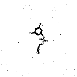 C#CCOS(=O)(=O)Oc1cc(Cl)cc(C(F)(F)F)c1